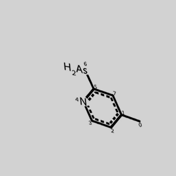 Cc1ccnc([AsH2])c1